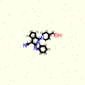 N#Cc1c2c(c(N3CC=C(CO)CC3)n3c1nc1ccccc13)CCC2